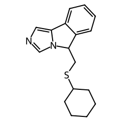 c1ccc2c(c1)-c1cncn1C2CSC1CCCCC1